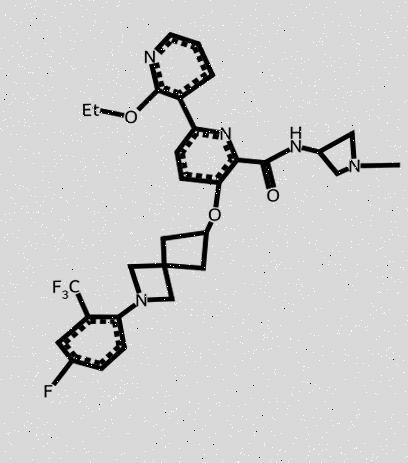 CCOc1ncccc1-c1ccc(OC2CC3(C2)CN(c2ccc(F)cc2C(F)(F)F)C3)c(C(=O)NC2CN(C)C2)n1